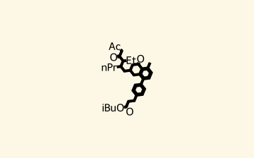 CCCC(CC1CC(=O)c2c(C)ccc(-c3ccc(CCC(=O)OCC(C)C)cc3)c2C1)C(CC)C(=O)CC(C)=O